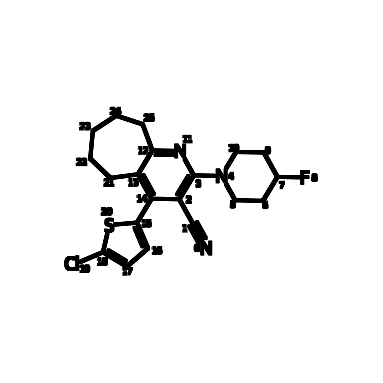 N#Cc1c(N2CCC(F)CC2)nc2c(c1-c1ccc(Cl)s1)CCCCC2